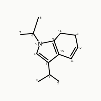 CC(C)c1cn(C(C)C)c2c1C=CCC2